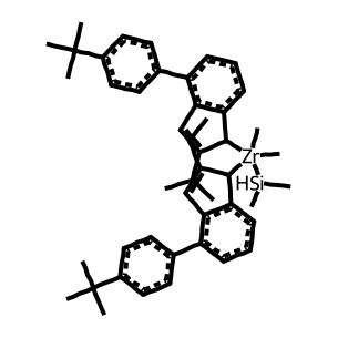 CCC1=Cc2c(-c3ccc(C(C)(C)C)cc3)cccc2[CH]1[Zr]([CH3])([CH3])([CH]1C(C(C)C)=Cc2c(-c3ccc(C(C)(C)C)cc3)cccc21)[SiH](C)C